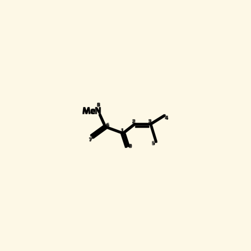 C=C(C=C(C)C)C(=C)NC